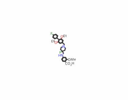 CCOc1cc(CN2CCC(F)(CNc3ccc(C(=O)O)c(OC)c3)CC2)cc(OCC)c1-c1ccc(F)cc1